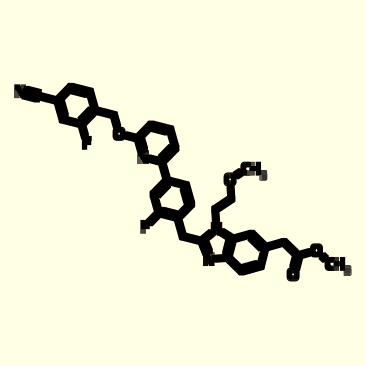 COCCn1c(Cc2ccc(-c3cccc(OCc4ccc(C#N)cc4F)n3)cc2F)nc2ccc(CC(=O)OC)cc21